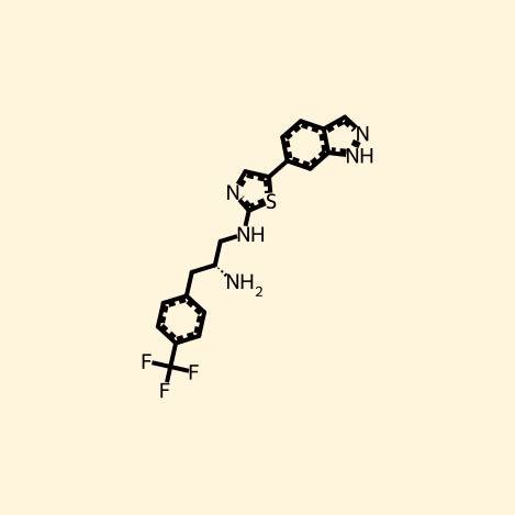 N[C@@H](CNc1ncc(-c2ccc3cn[nH]c3c2)s1)Cc1ccc(C(F)(F)F)cc1